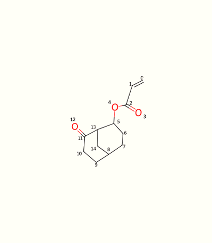 C=CC(=O)OC1CCC2CCC(=O)C1C2